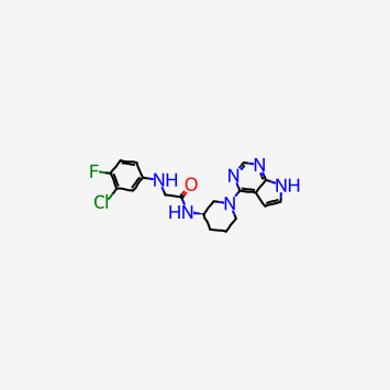 O=C(CNc1ccc(F)c(Cl)c1)N[C@@H]1CCCN(c2ncnc3[nH]ccc23)C1